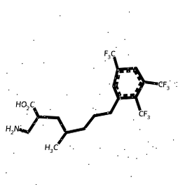 CC(CCCc1cc(C(F)(F)F)cc(C(F)(F)F)c1C(F)(F)F)CC(CN)C(=O)O